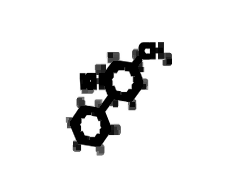 Cc1ccc(-c2ccccc2)cc1.[KH]